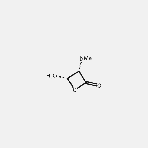 CN[C@@H]1C(=O)O[C@@H]1C